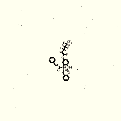 O=C(Nc1ccc(OC(F)=C(F)C(F)(F)C(F)(F)C(F)(F)C(F)(F)F)cc1NC(=O)OCc1ccccc1)OCc1ccccc1